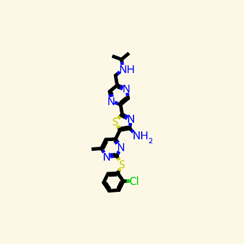 Cc1cc(-c2sc(-c3cnc(CNC(C)C)cn3)nc2N)nc(Sc2ccccc2Cl)n1